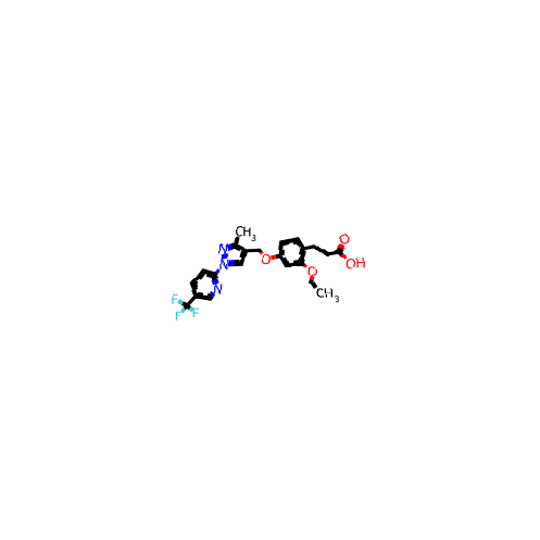 CCOc1cc(OCc2cn(-c3ccc(C(F)(F)F)cn3)nc2C)ccc1CCC(=O)O